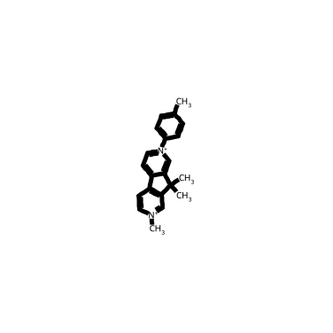 Cc1ccc(-[n+]2ccc3c(c2)C(C)(C)c2c[n+](C)ccc2-3)cc1